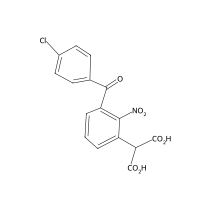 O=C(c1ccc(Cl)cc1)c1cccc(C(C(=O)O)C(=O)O)c1[N+](=O)[O-]